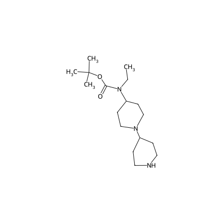 CCN(C(=O)OC(C)(C)C)C1CCN(C2CCNCC2)CC1